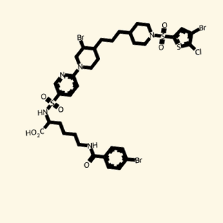 O=C(NCCCCC(NS(=O)(=O)c1ccc(N2CCC(CCCC3CCN(S(=O)(=O)c4cc(Br)c(Cl)s4)CC3)C(Br)C2)nc1)C(=O)O)c1ccc(Br)cc1